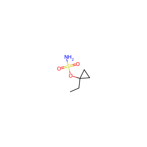 CCC1(OS(N)(=O)=O)CC1